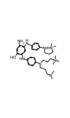 CN(C)CCCN(CCC[N+](C)(C)C)c1ccc(Nc2cc(Nc3ccc(NCCC[N+](C)(C)C)cc3)c(N)cc2O)cc1